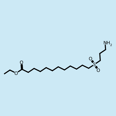 CCOC(=O)CCCCCCCCCCCS(=O)(=O)CCCN